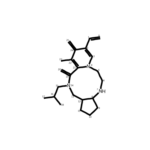 C=CC1=CN2CCNC3CCCC3CN(CC(C)C)C(=C)C2=C(C)C1=C